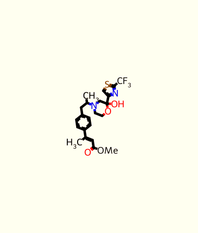 COC(=O)C=C(C)c1ccc(CC(C)N2CCOC(O)(c3csc(C(F)(F)F)n3)C2)cc1